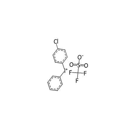 Clc1ccc([I+]c2ccccc2)cc1.O=S(=O)([O-])C(F)(F)F